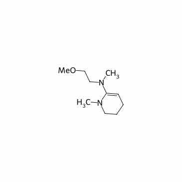 COCCN(C)C1=CCCCN1C